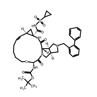 CC(C)(C)OC(=O)N[C@H]1CCCCC/C=C\[C@H]2C[C@@]2(C(=O)NS(=O)(=O)C2CC2)NC(=O)[C@@H]2[C@H]3CN(Cc4ccccc4-c4ccccc4)C[C@H]3CN2C1=O